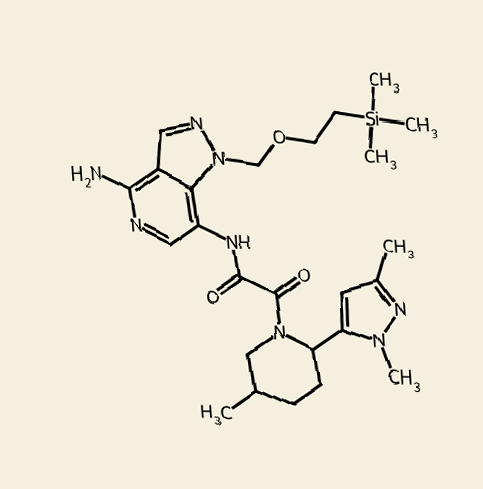 Cc1cc(C2CCC(C)CN2C(=O)C(=O)Nc2cnc(N)c3cnn(COCC[Si](C)(C)C)c23)n(C)n1